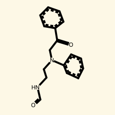 O=CNCCN(CC(=O)c1ccccc1)c1ccccc1